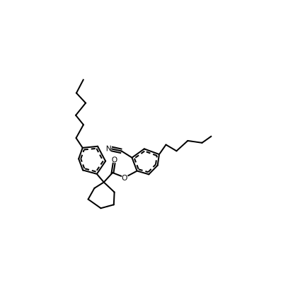 CCCCCCc1ccc(C2(C(=O)Oc3ccc(CCCCC)cc3C#N)CCCCC2)cc1